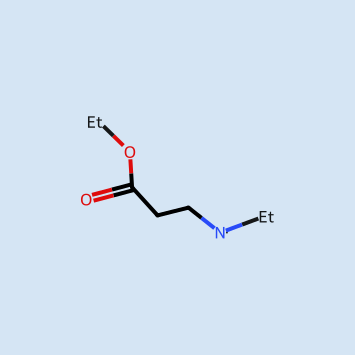 CC[N]CCC(=O)OCC